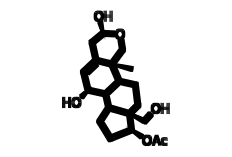 CC(=O)O[C@H]1CCC2C3C(CC[C@@]21CO)[C@@]1(C)CO[C@H](O)CC1=C[C@@H]3O